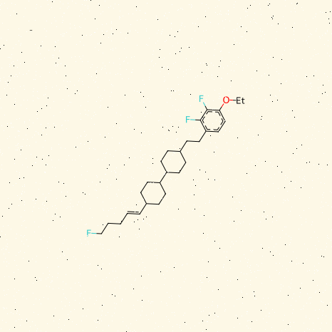 CCOc1ccc(CCC2CCC(C3CCC(/C=C/CCCF)CC3)CC2)c(F)c1F